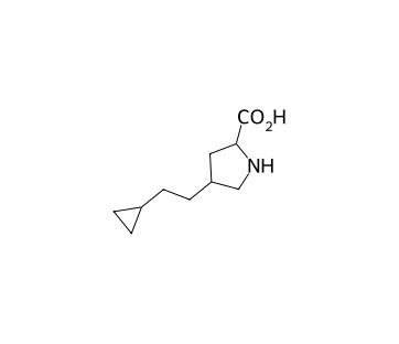 O=C(O)C1CC(CCC2CC2)CN1